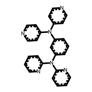 c1ccc(N(c2cccc(N(c3ccncc3)c3ccncc3)c2)c2ccccn2)nc1